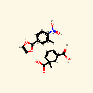 CC1(C(=O)O)C=CC=C(C(=O)O)C1.Cc1cc(C2OC=CO2)ccc1[N+](=O)[O-]